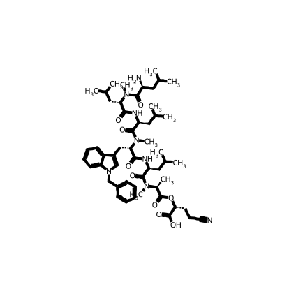 CC(C)C[C@H](NC(=O)[C@H](Cc1cn(Cc2ccccc2)c2ccccc12)N(C)C(=O)[C@H](CC(C)C)NC(=O)[C@H](CC(C)C)N(C)C(=O)[C@@H](N)CC(C)C)C(=O)N(C)[C@@H](C)C(=O)O[C@H](CCC#N)C(=O)O